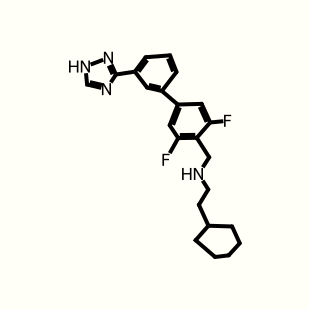 Fc1cc(-c2cccc(-c3nc[nH]n3)c2)cc(F)c1CNCCC1CCCCC1